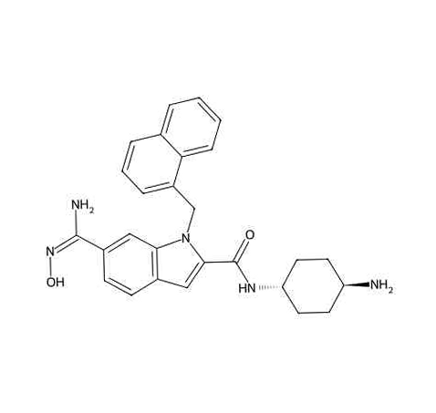 N/C(=N/O)c1ccc2cc(C(=O)N[C@H]3CC[C@H](N)CC3)n(Cc3cccc4ccccc34)c2c1